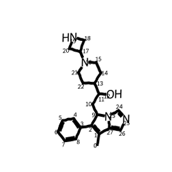 CC1=C(c2ccccc2)C(CC(O)C2CCN(C3CNC3)CC2)n2cncc21